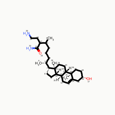 CC(CCC[C@@H](C)[C@H]1CC[C@H]2[C@@H]3CC=C4C[C@@H](O)CC[C@]4(C)[C@H]3CC[C@]12C)C(CCN)C(N)=O